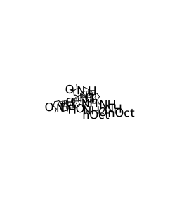 CCCCCCCCNC(=O)NCC1CC[C@H]2[C@@H]3CCN4C(C)C(=O)C=C(C5(CNC(=O)NCCCCCCCC)CC[C@H]6[C@@H]7CCN8C(C)C(=O)CC[C@]8(C)[C@@H]7CC[C@@]65C)[C@]4(C)[C@@H]3CC[C@]12C